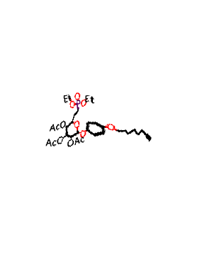 C#CCCCCCCOc1ccc(O[C@H]2O[C@H](CCP(=O)(OCC)OCC)[C@@H](OC(C)=O)[C@H](OC(C)=O)[C@@H]2OC(C)=O)cc1